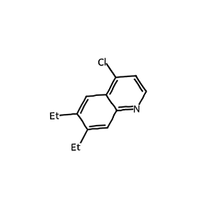 CCc1cc2nccc(Cl)c2cc1CC